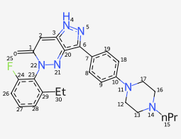 C=C1C=c2[nH]nc(-c3ccc(N4CCN(CCC)CC4)cc3)c2=NN1c1c(F)cccc1CC